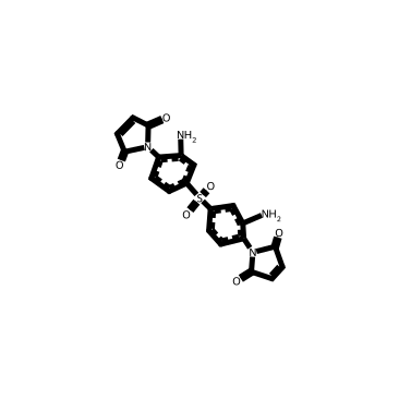 Nc1cc(S(=O)(=O)c2ccc(N3C(=O)C=CC3=O)c(N)c2)ccc1N1C(=O)C=CC1=O